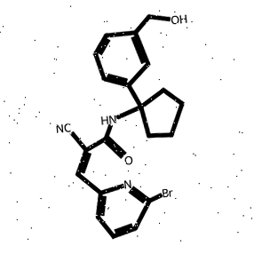 N#CC(=Cc1cccc(Br)n1)C(=O)NC1(c2cccc(CO)c2)CCCC1